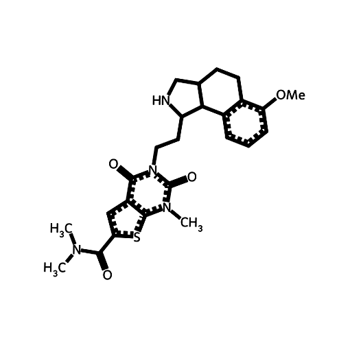 COc1cccc2c1CCC1CNC(CCn3c(=O)c4cc(C(=O)N(C)C)sc4n(C)c3=O)C21